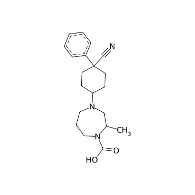 CC1CN(C2CCC(C#N)(c3ccccc3)CC2)CCCN1C(=O)O